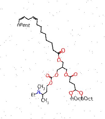 CCCCC/C=C\C/C=C\CCCCCCCC(=O)OCC(COC(=O)CCC(OCCCCCCCC)OCCCCCCCC)COC(=O)OCCC(C)N(C)CC